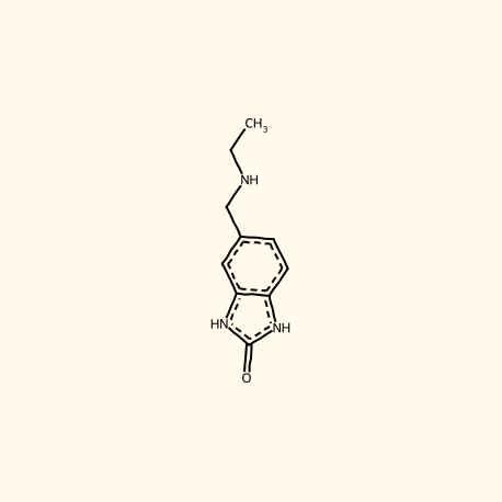 CCNCc1ccc2[nH]c(=O)[nH]c2c1